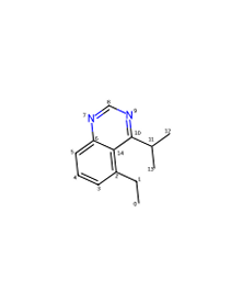 CCc1cccc2ncnc(C(C)C)c12